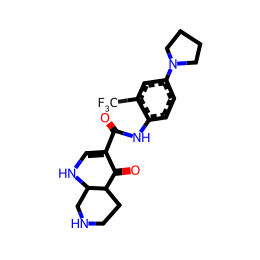 O=C(Nc1ccc(N2CCCC2)cc1C(F)(F)F)C1=CNC2CNCCC2C1=O